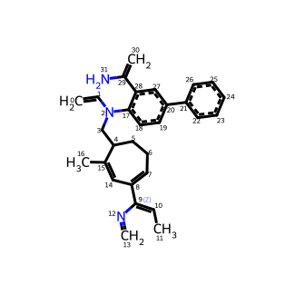 C=CN(CC1CCC=C(/C(=C/C)N=C)C=C1C)c1ccc(-c2ccccc2)cc1C(=C)N